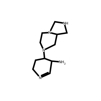 NC1C=NCCC1N1CCN2CNCC2C1